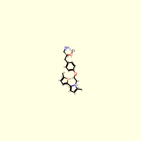 CCO[C@H](CN)Cc1ccc(OCCn2c(C)ccc2-c2ccc(C)s2)cc1